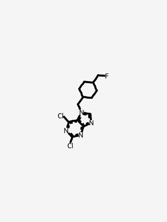 FCC1CCC(Cn2cnc3nc(Cl)nc(Cl)c32)CC1